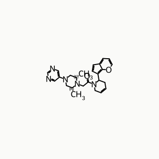 C[C@@H]1CN(c2cncnc2)C[C@H](C)N1CC(=O)N1CC=CCC1c1ccc2cccoc1-2